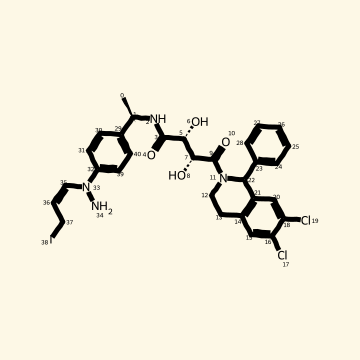 C[C@@H](NC(=O)[C@H](O)[C@@H](O)C(=O)N1CCc2cc(Cl)c(Cl)cc2C1c1ccccc1)c1ccc(N(N)/C=C\CI)cc1